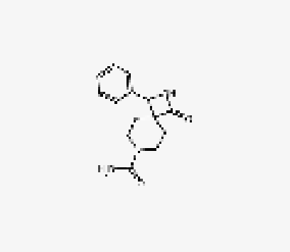 BC(=O)N1CCC2(CC1)C(=O)NC2c1ccccc1